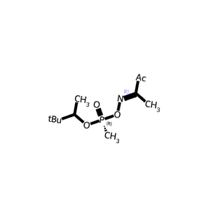 CC(=O)/C(C)=N/O[P@](C)(=O)OC(C)C(C)(C)C